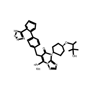 CCCc1c(Cc2ccc(-c3ccccc3-c3nnn[nH]3)cc2)c(=O)n([C@H]2CC[C@H](OC(C)C(C)(C)O)CC2)c2ncnn12.[KH]